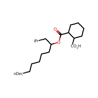 CCCCCCCCCCCCCCCC(CC(C)C)OC(=O)C1CCCCC1C(=O)O